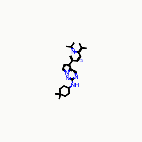 C=C(/C=C\C(N=C(C)C)=C(C)C)c1ccn2nc(NC3CCC(C)(C)CC3)ncc12